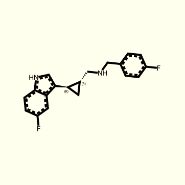 Fc1ccc(CNC[C@@H]2C[C@H]2c2c[nH]c3ccc(F)cc23)cc1